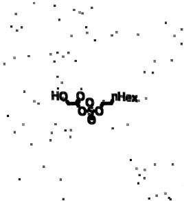 CCCCCCCCOS(=O)(=O)OC(=O)CO